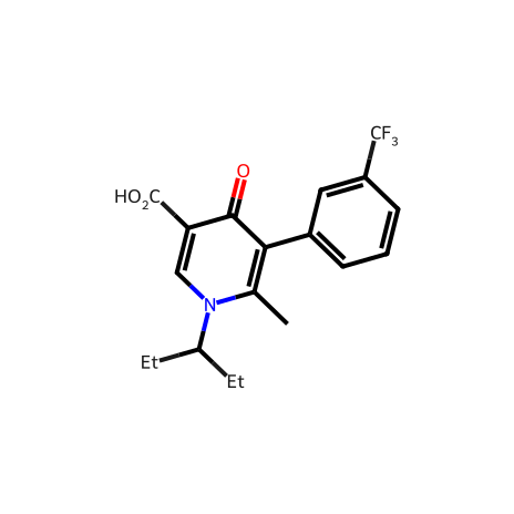 CCC(CC)n1cc(C(=O)O)c(=O)c(-c2cccc(C(F)(F)F)c2)c1C